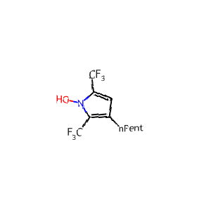 CCCCCc1cc(C(F)(F)F)n(O)c1C(F)(F)F